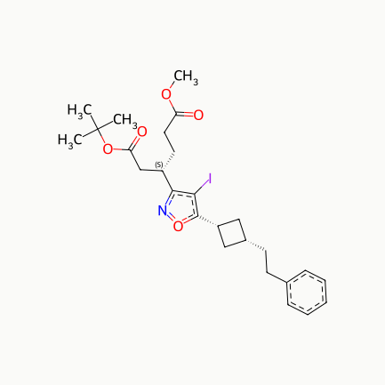 COC(=O)CC[C@@H](CC(=O)OC(C)(C)C)c1noc([C@H]2C[C@@H](CCc3ccccc3)C2)c1I